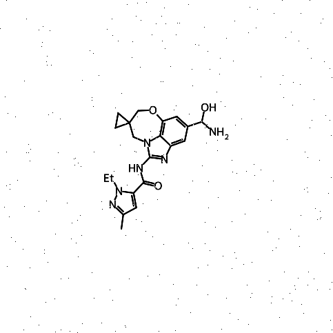 CCn1nc(C)cc1C(=O)Nc1nc2cc(C(N)O)cc3c2n1CC1(CC1)CO3